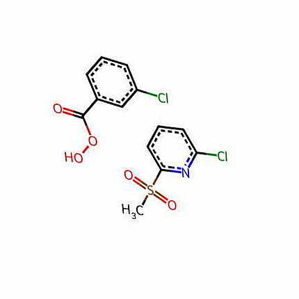 CS(=O)(=O)c1cccc(Cl)n1.O=C(OO)c1cccc(Cl)c1